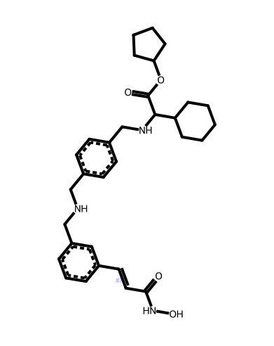 O=C(/C=C/c1cccc(CNCc2ccc(CNC(C(=O)OC3CCCC3)C3CCCCC3)cc2)c1)NO